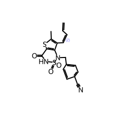 C=C/C=C\c1c(C)sc2c1N(Cc1ccc(C#N)cc1)S(=O)(=O)NC2=O